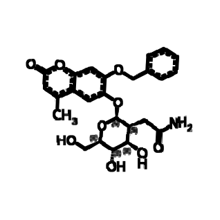 Cc1cc(=O)oc2cc(OCc3ccccc3)c(O[C@@H]3O[C@H](CO)[C@@H](O)[C@H](O)[C@@H]3CC(N)=O)cc12